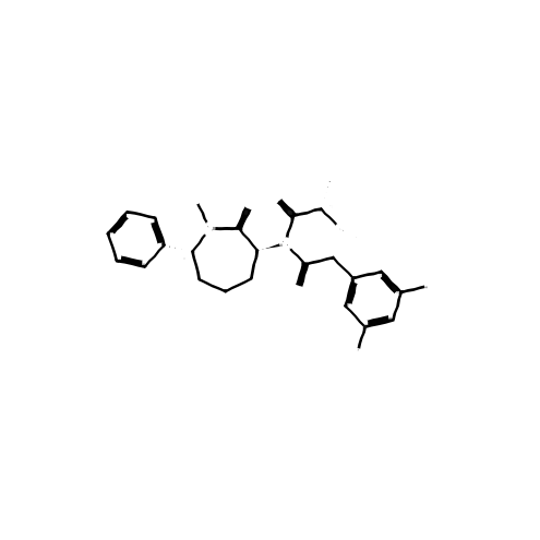 C[C@H](N)C(=O)N(C(=O)Cc1cc(F)cc(F)c1)[C@H]1CCC[C@H](c2ccccc2)N(C)C1=O